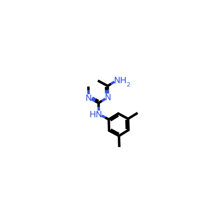 C/N=C(\N=C(/C)N)Nc1cc(C)cc(C)c1